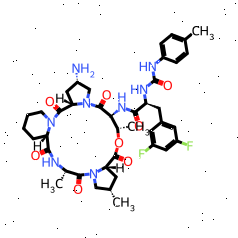 Cc1ccc(NC(=O)N[C@@H](Cc2cc(F)cc(F)c2)C(=O)N[C@@H]2C(=O)N3C[C@@H](N)C[C@H]3C(=O)N3CCCC[C@H]3C(=O)N[C@@H](C)C(=O)N3C[C@@H](C)C[C@H]3C(=O)O[C@H]2C)cc1